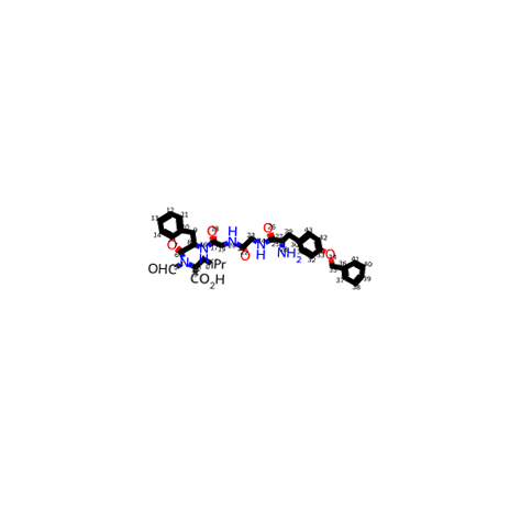 CC(C)CC(C(=O)O)N(C=O)C(=O)C(Cc1ccccc1)NC(=O)CNC(=O)CNC(=O)C(N)Cc1ccc(OCc2ccccc2)cc1